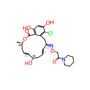 C[C@@H]1C/C=C/[C@H](O)C/C=C/C(=N\OCC(=O)N2CCCCC2)Cc2c(Cl)c(O)cc(O)c2C(=O)O1